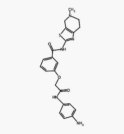 CN1CCc2nc(NC(=O)c3cccc(OCC(=O)Nc4ccc(N)cc4)c3)sc2C1